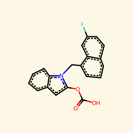 O=C(O)Oc1cc2ccccc2n1Cc1cccc2ccc(F)cc12